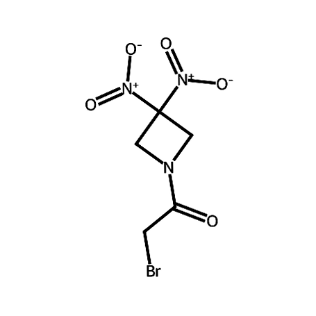 O=C(CBr)N1CC([N+](=O)[O-])([N+](=O)[O-])C1